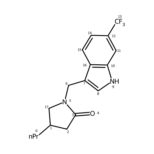 CCCC1CC(=O)N(Cc2c[nH]c3cc(C(F)(F)F)ccc23)C1